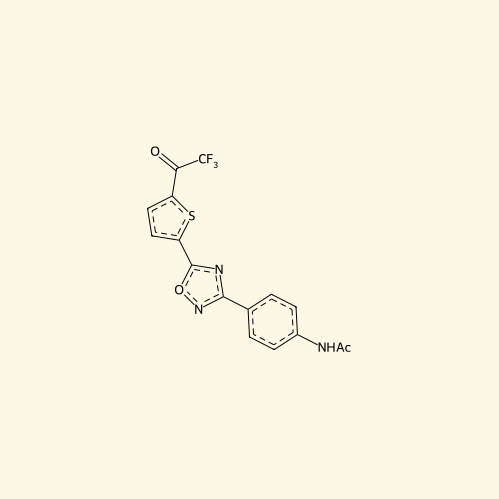 CC(=O)Nc1ccc(-c2noc(-c3ccc(C(=O)C(F)(F)F)s3)n2)cc1